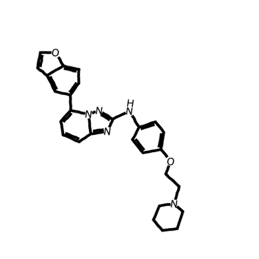 c1cc(-c2ccc3occc3c2)n2nc(Nc3ccc(OCCN4CCCCC4)cc3)nc2c1